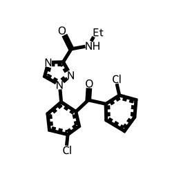 CCNC(=O)c1ncn(-c2ccc(Cl)cc2C(=O)c2ccccc2Cl)n1